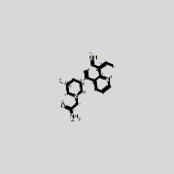 C=C(c1cccnc1/C(C=N)=C\C)[C@H]1C[C@@H](C)CN(CC(N)=O)C1